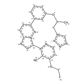 CC(Cn1cnnn1)Oc1cccc(-c2ccc3ncc(-c4nccc(OCF)c4C#N)n3n2)c1